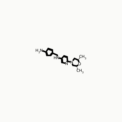 C[C@@H]1CN(c2ccc(NCc3ccc(N)cc3)cn2)C[C@H](C)O1